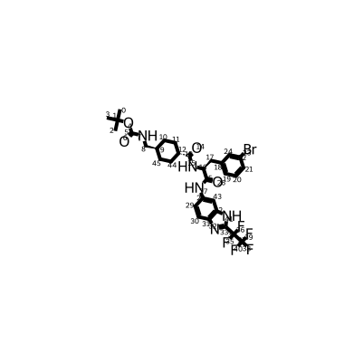 CC(C)(C)OC(=O)NC[C@H]1CC[C@H](C(=O)N[C@@H](Cc2cccc(Br)c2)C(=O)Nc2ccc3nc(C(F)(F)C(F)(F)F)[nH]c3c2)CC1